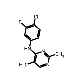 Cc1ncc(C)c(Nc2ccc(Cl)c(F)c2)n1